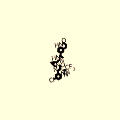 O=C1CCc2cc(-c3cnc(C4C5CC5c5nc(-c6cc(Cl)ccc6-n6cc(C(F)(F)F)nn6)cc(=O)n54)[nH]3)ccc2N1